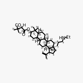 C=C(C)C1CC[C@]2(CCCNCC)CC[C@]3(C)[C@H](CC[C@@H]4[C@@]5(C)CC[C@H](OC(=O)CC(C)(C)C(=O)O)C(C)(C)[C@@H]5CC[C@]43C)[C@@H]12